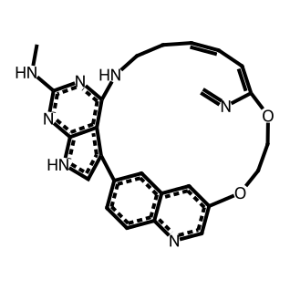 C=N/C1=C\C=C/CCNc2nc(NC)nc3[nH]cc(c23)-c2ccc3ncc(cc3c2)OCCO1